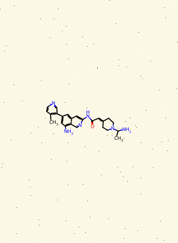 Cc1ccncc1-c1cc(N)c2cnc(NC(=O)C=C3CCN(C(C)N)CC3)cc2c1